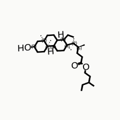 CCC(C)CCOC(=O)CC[C@H](C)[C@H]1CC[C@H]2C3CC[C@]4(C)C[C@H](O)CC[C@]4(C)[C@H]3CC[C@]12C